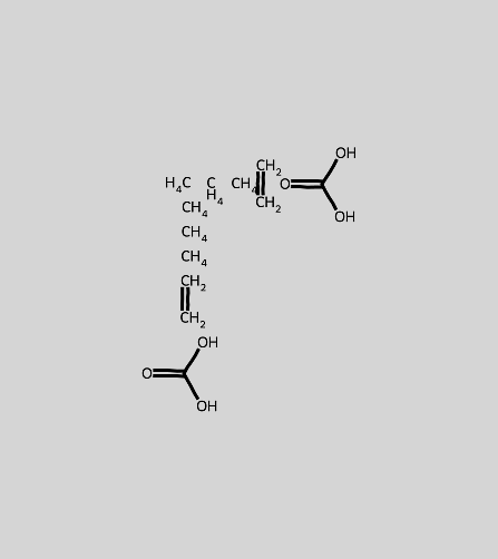 C.C.C.C.C.C.C=C.C=C.O=C(O)O.O=C(O)O